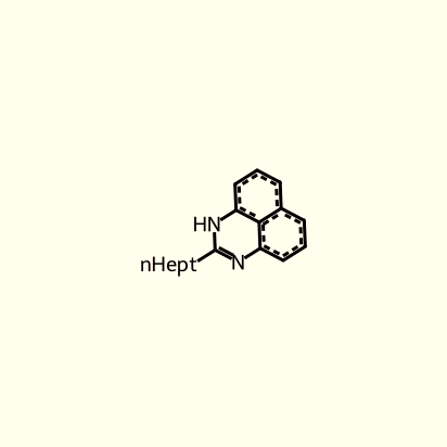 CCCCCCCC1=Nc2cccc3cccc(c23)N1